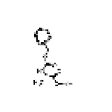 CC(C)OC(=O)[C@H](C)NC(=O)OCc1ccccc1